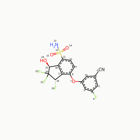 N#Cc1cc(F)cc(Oc2ccc(S(N)(=O)=O)c3c2[C@H](F)C(F)(F)[C@H]3O)c1